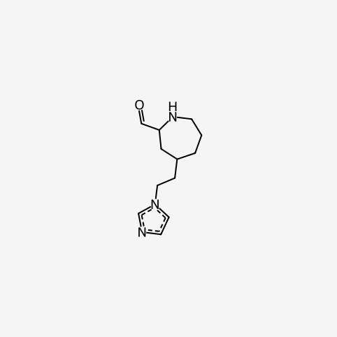 O=CC1CC(CCn2ccnc2)CCCN1